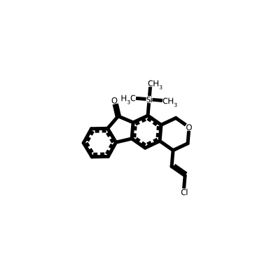 C[Si](C)(C)c1c2c(cc3c1C(=O)c1ccccc1-3)C(C=CCl)COC2